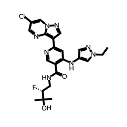 CCn1cc(Nc2cc(-c3cnn4cc(Cl)cnc34)ncc2C(=O)NC[C@@H](F)C(C)(C)O)cn1